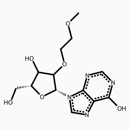 COCCOC1C(O)[C@@H](CO)O[C@H]1n1cnc2c(O)ncnc21